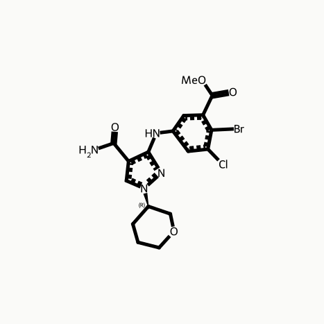 COC(=O)c1cc(Nc2nn([C@@H]3CCCOC3)cc2C(N)=O)cc(Cl)c1Br